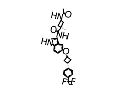 CC(=O)N[C@H]1C[C@](C)(C(=O)Nc2c[nH]c3ccc(O[C@H]4C[C@@H](c5ccc(C(F)(F)F)cc5)C4)cc23)C1